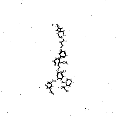 Cc1c(COc2cc(OCc3cncc(C#N)c3)c(CN3CCCC[C@H]3C(=O)O)cc2Cl)cccc1-c1cccc(OCCCN2CCC3(CC2)CC(N)C3)c1